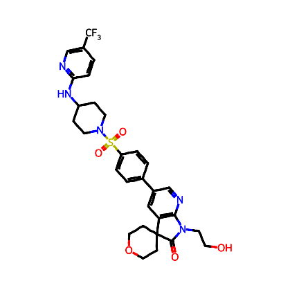 O=C1N(CCO)c2ncc(-c3ccc(S(=O)(=O)N4CCC(Nc5ccc(C(F)(F)F)cn5)CC4)cc3)cc2C12CCOCC2